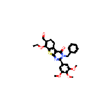 CCOC1=C(C=O)CCc2c1sc1nc(-c3cc(OC)c(OC)c(OC)c3)n(Cc3ccccc3)c(=O)c21